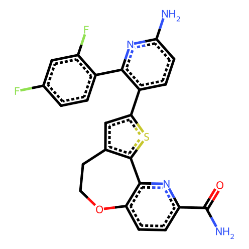 NC(=O)c1ccc2c(n1)-c1sc(-c3ccc(N)nc3-c3ccc(F)cc3F)cc1CCO2